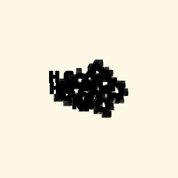 Cc1cc2c(c(-c3c(-c4ccccc4)nnnc3-c3[se]c4ccccc4c3-c3ccccc3-c3ccccc3)c1C)Cc1ccccc1-2